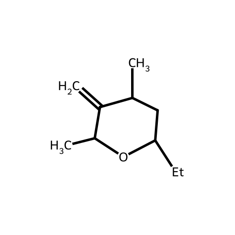 C=C1C(C)CC(CC)OC1C